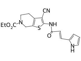 CCOC(=O)N1CCc2c(sc(NC(=O)/C=C/c3ccc[nH]3)c2C#N)C1